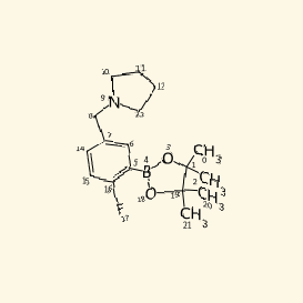 CC1(C)OB(c2cc(CN3CCCC3)ccc2F)OC1(C)C